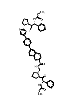 COC(=O)N[C@@H](C(=O)N1CCC[C@H]1CNC(=O)c1ccc2cc(-c3ccc(-c4cnc([C@@H]5CCCN5C(=O)[C@H](NC(=O)OC)c5ccccc5)[nH]4)cc3)ccc2c1)c1ccccc1